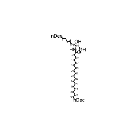 CCCCCCCCCCCCC/C=C/[C@@H](O)[C@H](CO)NC(=O)CCCCCCCCCCCCCCCCCCCCCCCCCCC